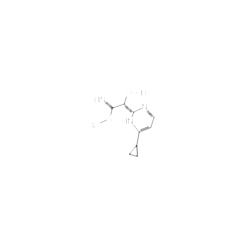 CCSC(=N)/C(C(=O)O)=C1/N=CC=C(C2CC2)N1